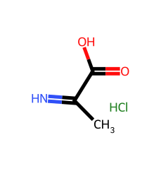 CC(=N)C(=O)O.Cl